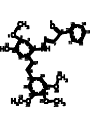 COc1cc(NC=CC(=O)c2ccccc2)c(C=Cc2cc(OC)c(OC)c(OC)c2)cc1O